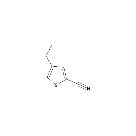 CCc1csc(C#N)c1